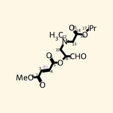 COC(=O)/C=C/C(=O)OC(C=O)CN(C)CC(=O)OC(C)C